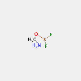 CN.[O-][S+](F)F